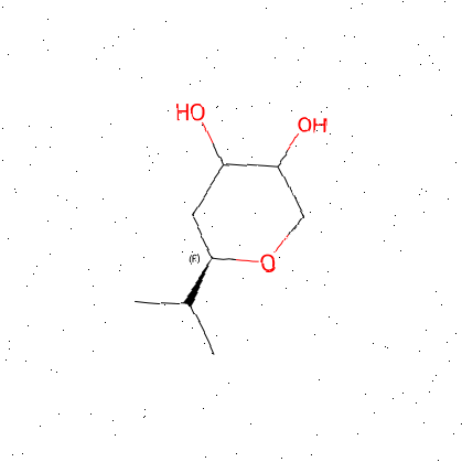 CC(C)[C@H]1CC(O)C(O)CO1